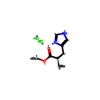 CCCCCCCCOC(=O)[C@H](Cc1c[nH]cn1)NC.Cl.Cl